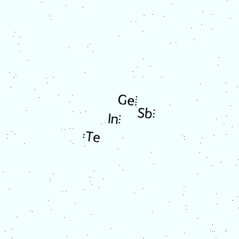 [Ge].[In].[Sb].[Te]